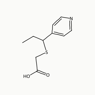 CCC(SCC(=O)O)c1ccncc1